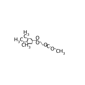 CCOCCOCCOC(=O)c1ccc(C(C)C)c(C)c1